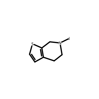 IN1CCc2ccsc2C1